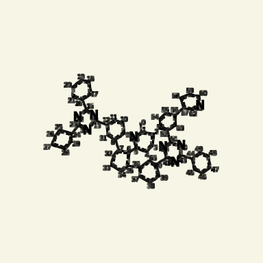 Cc1cccc(-c2c(-c3cccc(-c4nc(-c5ccccc5)nc(-c5ccccc5)n4)c3)cccc2-c2cccc(-c3nc(-c4ccccc4)nc(-c4cccc(-c5cccnc5)c4)n3)c2)n1